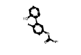 CCCC(=O)Oc1ccc(C)c(-c2ccccc2O)c1